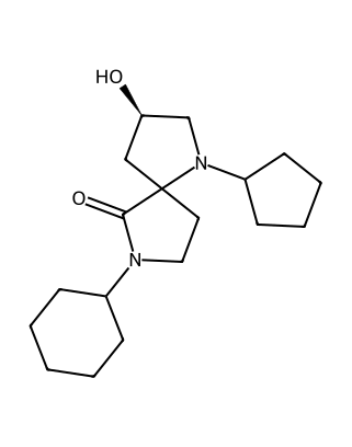 O=C1N(C2CCCCC2)CCC12C[C@@H](O)CN2C1CCCC1